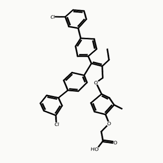 CCC(COc1ccc(OCC(=O)O)c(C)c1)=C(c1ccc(-c2cccc(Cl)c2)cc1)c1ccc(-c2cccc(Cl)c2)cc1